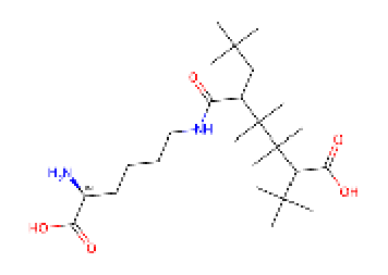 CC(C)(C)CC(C(=O)NCCCC[C@H](N)C(=O)O)C(C)(C)C(C)(C)C(C(=O)O)C(C)(C)C